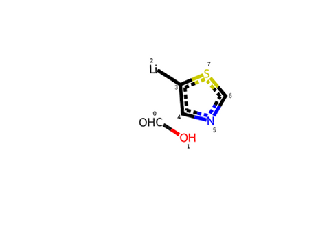 O=CO.[Li][c]1cncs1